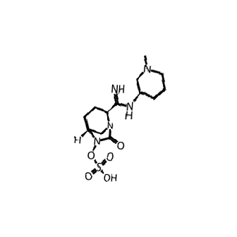 CN1CCC[C@@H](NC(=N)[C@@H]2CC[C@@H]3CN2C(=O)N3OS(=O)(=O)O)C1